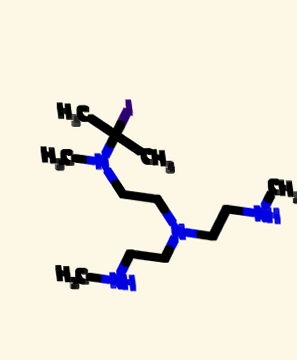 CNCCN(CCNC)CCN(C)C(C)(C)I